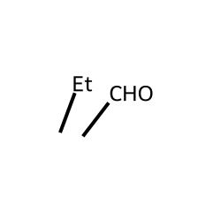 CC=O.CCC